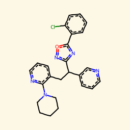 Clc1ccccc1-c1nc(C(Cc2cccnc2N2CCCCC2)c2cccnc2)no1